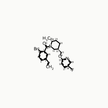 C=Cc1ccc(Br)c(C(=O)N2C[C@H](COc3ccc(F)cn3)CC[C@H]2C)c1